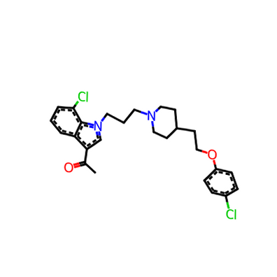 CC(=O)c1cn(CCCN2CCC(CCOc3ccc(Cl)cc3)CC2)c2c(Cl)cccc12